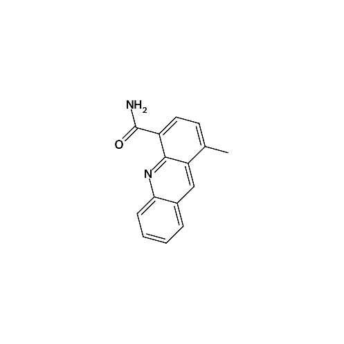 Cc1ccc(C(N)=O)c2nc3ccccc3cc12